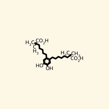 CC(C)(CCCCCCc1cc(O)c(O)cc1CCCCCC(C)(C)C(=O)O)C(=O)O